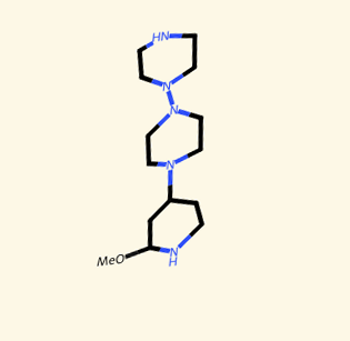 COC1CC(N2CCN(N3CCNCC3)CC2)CCN1